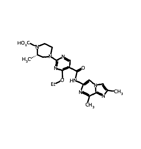 CCOc1nc(N2CCN(C(=O)O)[C@@H](C)C2)ncc1C(=O)Nc1cn2cc(C)nc2c(C)n1